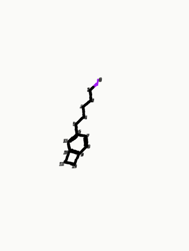 ICCCCCc1ccc2c(c1)CC2